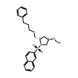 CC(C)(C)O[C@@H]1C[C@@H](COCCCc2ccccc2)N(S(=O)(=O)c2ccc3ccccc3c2)C1